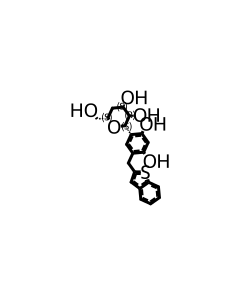 OC[C@@H]1C[C@H](O)[C@@H](O)[C@H](c2cc(Cc3cc4ccccc4s3)c(O)cc2O)O1